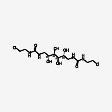 O=C(NCCCl)NC[C@@H](O)[C@@H](O)[C@H](O)[C@H](O)CNC(=O)NCCCl